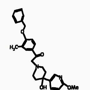 COc1ccc(C2(O)CCN(CC(=O)c3ccc(OCc4ccccc4)c(C)c3)CC2)cn1